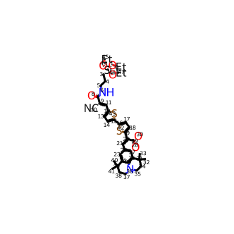 CCO[Si](CCCNC(=O)/C(C#N)=C/c1ccc(-c2ccc(-c3cc4cc5c6c(c4oc3=O)C(C)(C)CCN6CCC5(C)C)s2)s1)(OCC)OCC